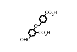 O=Cc1ccc(OCc2ccc(C(=O)O)cc2)c(C(=O)O)c1